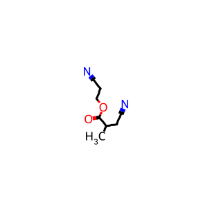 CC(CC#N)C(=O)OCCC#N